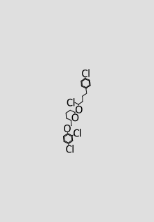 Clc1ccc(CCCC(Cl)OC2CCCC(COc3ccc(Cl)cc3Cl)O2)cc1